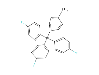 Cc1ccc([B-](c2ccc(F)cc2)(c2ccc(F)cc2)c2ccc(F)cc2)cc1